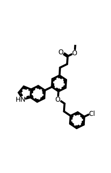 COC(=O)CCc1ccc(OCCc2cccc(Cl)c2)c(-c2ccc3[nH]ccc3c2)c1